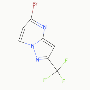 FC(F)(F)c1cc2nc(Br)ccn2n1